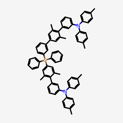 Cc1ccc(N(c2ccc(C)cc2)c2cccc(-c3c(C)cc(-c4cccc(S(c5ccccc5)(c5ccccc5)c5cc(C)c(-c6cccc(N(c7ccc(C)cc7)c7ccc(C)cc7)c6)c(C)c5)c4)cc3C)c2)cc1